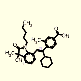 CCCCCN1C(=O)C(C)(C)c2cccc(/C=C(/c3ccc(C(=O)O)cc3C)C3CCCCC3)c21